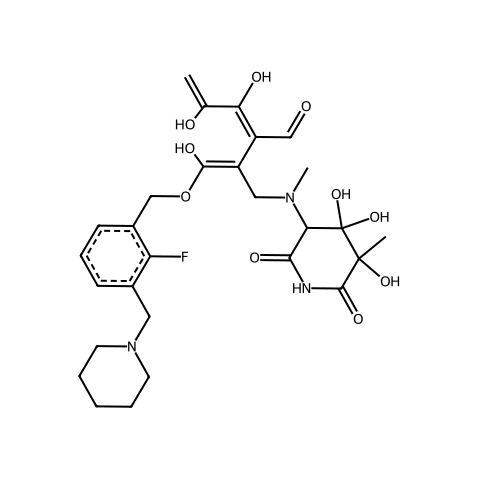 C=C(O)/C(O)=C(C=O)\C(CN(C)C1C(=O)NC(=O)C(C)(O)C1(O)O)=C(/O)OCc1cccc(CN2CCCCC2)c1F